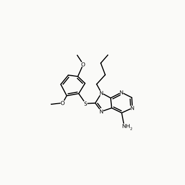 CCCCn1c(Sc2cc(OC)ccc2OC)nc2c(N)ncnc21